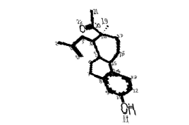 C=C(C)CC1C2CCc3cc(O)ccc3C2CC[C@]1(C)C(C)=O